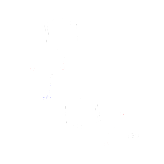 CCCCS(=O)(=O)c1ccc(NC(=O)Oc2ccccc2)cc1